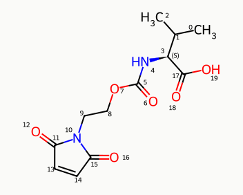 CC(C)[C@H](NC(=O)OCCN1C(=O)C=CC1=O)C(=O)O